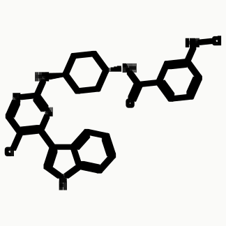 O=C(N[C@H]1CC[C@H](Nc2ncc(Cl)c(-c3c[nH]c4ccccc34)n2)CC1)c1cccc(NCl)c1